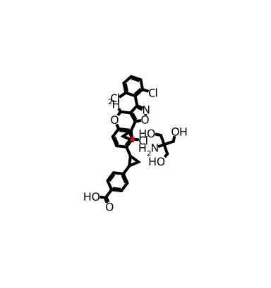 NC(CO)(CO)CO.[2H]C(Oc1ccc(C2CC2c2ccc(C(=O)O)cc2)c(Cl)c1)c1c(-c2c(Cl)cccc2Cl)noc1C1CC1